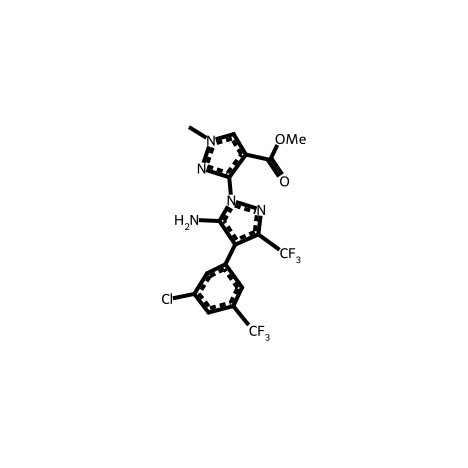 COC(=O)c1cn(C)nc1-n1nc(C(F)(F)F)c(-c2cc(Cl)cc(C(F)(F)F)c2)c1N